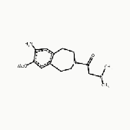 COc1cc2c(cc1N)CCN(C(=O)CN(C)C)CC2